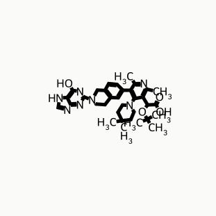 Cc1nc(C)c(C(OC(C)(C)C)C(=O)O)c(N2CCC(C)(C)CC2)c1-c1ccc2c(c1)CCN(c1nc(O)c3[nH]cnc3n1)C2